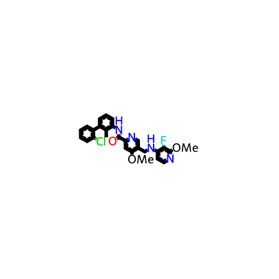 COc1cc(C(=O)Nc2cccc(-c3ccccc3Cl)c2C)ncc1CNc1ccnc(OC)c1F